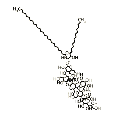 CCCCCCCCCCCCC/C=C/[C@@H](O)[C@H](CO[C@@H]1OC(CO)[C@@H](O[C@@H]2OC(CO)[C@H](O)[C@H](O[C@@H]3OC(CO)[C@@H](O[C@@H]4OC(CO)[C@H](O)[C@H](O[C@]5(C(=O)O)CC(O)[C@@H](O)C([C@H](O)[C@H](O)CO)O5)C4O)[C@H](O[C@H]4OC(C)[C@@H](O)C(O)[C@@H]4O)C3NC(C)=O)C2O)[C@H](O)C1O)NC(=O)CCCCCCCCCCCCCCCCCCCCCCCCC